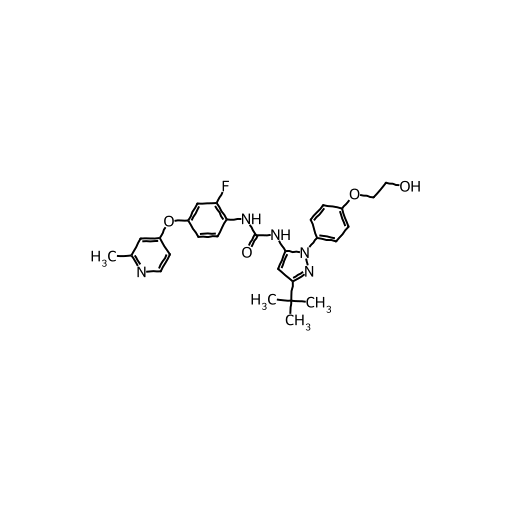 Cc1cc(Oc2ccc(NC(=O)Nc3cc(C(C)(C)C)nn3-c3ccc(OCCO)cc3)c(F)c2)ccn1